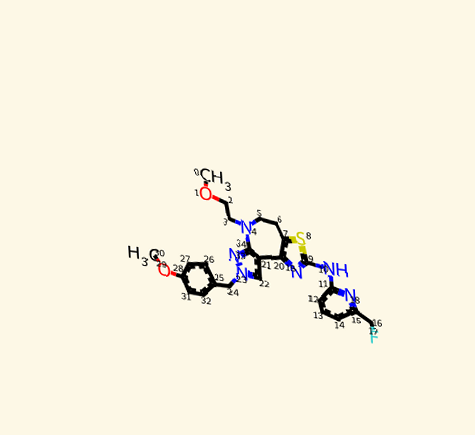 COCCN1CCc2sc(Nc3cccc(CF)n3)nc2-c2cn(Cc3ccc(OC)cc3)nc21